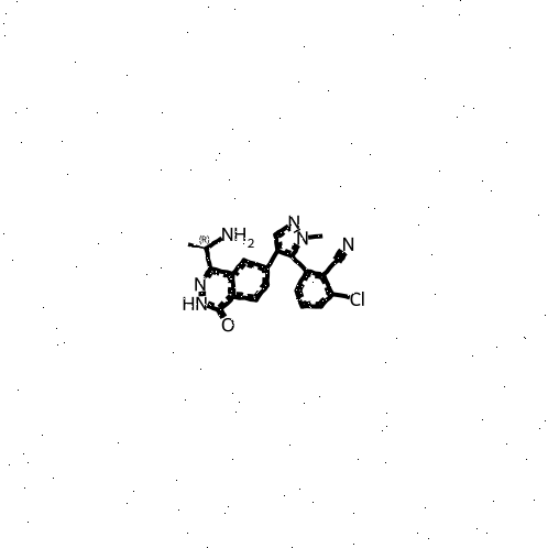 C[C@@H](N)c1n[nH]c(=O)c2ccc(-c3cnn(C)c3-c3cccc(Cl)c3C#N)cc12